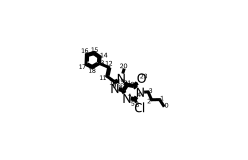 CCCCn1c(Cl)nc2nc(/C=C/c3ccccc3)n(C)c2c1=O